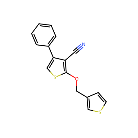 N#Cc1c(-c2ccccc2)csc1OCc1ccsc1